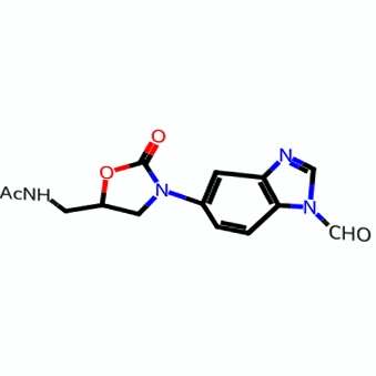 CC(=O)NCC1CN(c2ccc3c(c2)ncn3C=O)C(=O)O1